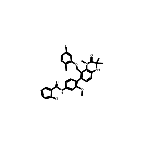 COc1cc(NC(=O)c2ccccc2Cl)ccc1-c1ccc2c(c1COc1cc(F)ccc1C)N(C)C(=O)C(C)(C)N2